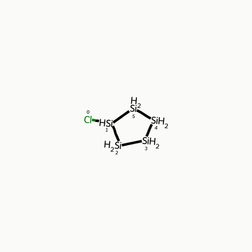 Cl[SiH]1[SiH2][SiH2][SiH2][SiH2]1